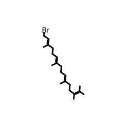 CC(C)=C(C)CC/C(C)=C/CC/C(C)=C/CC/C(C)=C/CBr